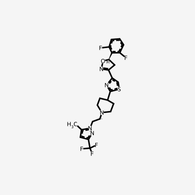 Cc1cc(C(F)(F)F)nn1C[CH]N1CCC(c2nc(C3=NO[C@@H](c4c(F)cccc4F)C3)cs2)CC1